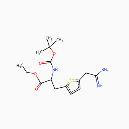 CCOC(=O)C(Cc1ccc(CC(=N)N)s1)NC(=O)OC(C)(C)C